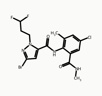 CNC(=O)c1cc(Cl)cc(C)c1NC(=O)c1cc(Br)nn1CCC(F)F